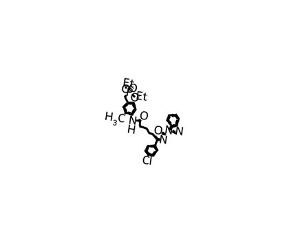 CCOP(=O)(Cc1ccc(NC(=O)CCCc2oc(-n3cnc4ccccc43)nc2-c2ccc(Cl)cc2)c(C)c1)OCC